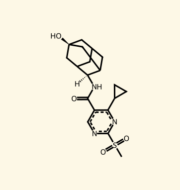 CS(=O)(=O)c1ncc(C(=O)N[C@H]2C3CC4CC2C[C@@](O)(C4)C3)c(C2CC2)n1